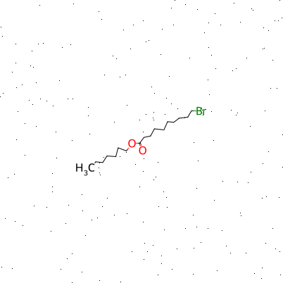 CCCCCCCOC(=O)CCCCCCCCCBr